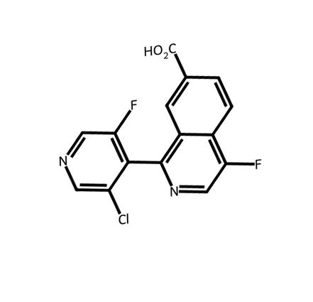 O=C(O)c1ccc2c(F)cnc(-c3c(F)cncc3Cl)c2c1